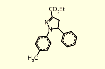 CCOC(=O)C1=NN(c2ccc(C)cc2)C(c2ccccc2)C1